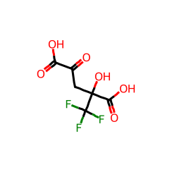 O=C(O)C(=O)CC(O)(C(=O)O)C(F)(F)F